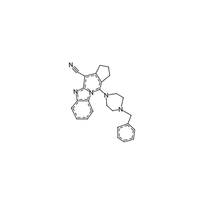 N#Cc1c2c(c(N3CCN(Cc4ccccc4)CC3)n3c1nc1ccccc13)CCC2